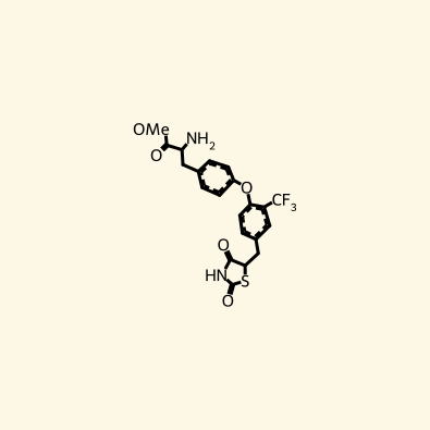 COC(=O)C(N)Cc1ccc(Oc2ccc(CC3SC(=O)NC3=O)cc2C(F)(F)F)cc1